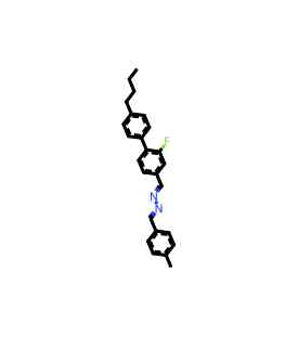 CCCCc1ccc(-c2ccc(C=NN=Cc3ccc(C)cc3)cc2F)cc1